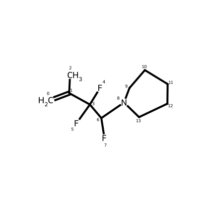 C=C(C)C(F)(F)C(F)N1CCCCC1